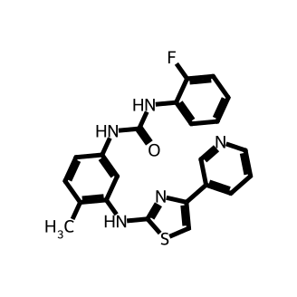 Cc1ccc(NC(=O)Nc2ccccc2F)cc1Nc1nc(-c2cccnc2)cs1